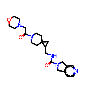 O=C(CN1CCOCC1)N1CCC2(CC1)CC2CNC(=O)N1Cc2ccncc2C1